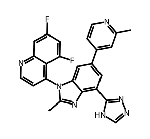 Cc1cc(-c2cc(-c3nnc[nH]3)c3nc(C)n(-c4ccnc5cc(F)cc(F)c45)c3c2)ccn1